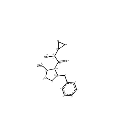 O=CC1OC[C@H](Cc2ccccc2)N1C(=O)[C@@H](O)C1CC1